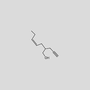 C#CCC(CO)C/C=C\CC